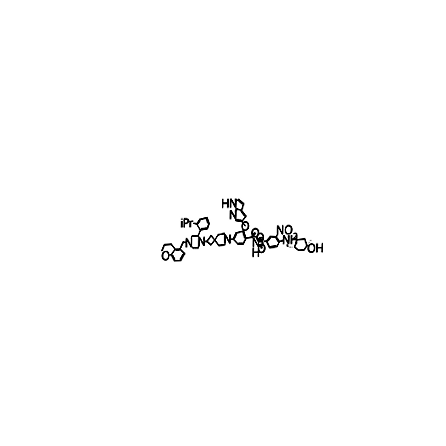 CC(C)c1ccccc1C1CN(Cc2cccc3c2CCCO3)CCN1C1CC2(CCN(c3ccc(C(=O)NS(=O)(=O)c4ccc(NC[C@H]5CC[C@](C)(O)CC5)c([N+](=O)[O-])c4)c(Oc4cnc5[nH]ccc5c4)c3)CC2)C1